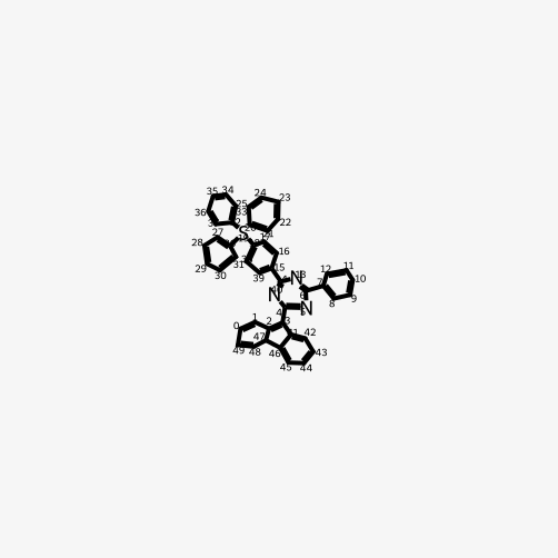 C1=CC2=C(c3nc(-c4ccccc4)nc(-c4ccc(S(c5ccccc5)(c5ccccc5)c5ccccc5)cc4)n3)c3ccccc3C2C=C1